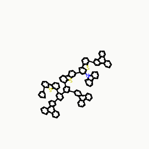 c1ccc(-c2cccc3c2sc2c(-c4cc(-c5ccc6c7ccccc7c7ccccc7c6c5)ccc4-c4cc(-c5ccc6c7ccccc7c7ccccc7c6c5)cc(-c5cccc6c5sc5cc(-c7cc(-n8c9ccccc9c9ccccc98)c8sc9c(-c%10ccc%11c%12ccccc%12c%12ccccc%12c%11c%10)cccc9c8c7)ccc56)c4)cccc23)cc1